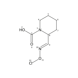 O=C(O)N1CCCCC1C=NOCl